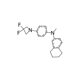 CN(c1ccc(N2CC(F)(F)C2)cc1)c1ccc2c(c1)CCCC2